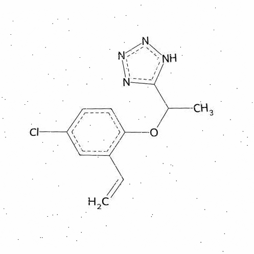 C=Cc1cc(Cl)ccc1OC(C)c1nnn[nH]1